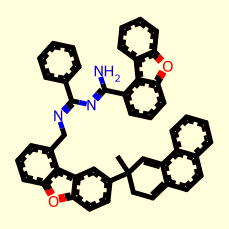 CC1(c2ccc3oc4cccc(C/N=C(\N=C(/N)c5cccc6oc7ccccc7c56)c5ccccc5)c4c3c2)C=c2c(ccc3ccccc23)=CC1